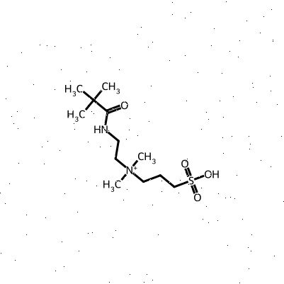 CC(C)(C)C(=O)NCC[N+](C)(C)CCCS(=O)(=O)O